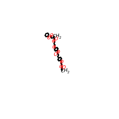 C=CC(=O)OCCOc1ccc(/C=C/C(=O)Oc2ccc(OCCCOC(=O)C(=C)CC(=O)OC3CCCCC3)cc2)cc1